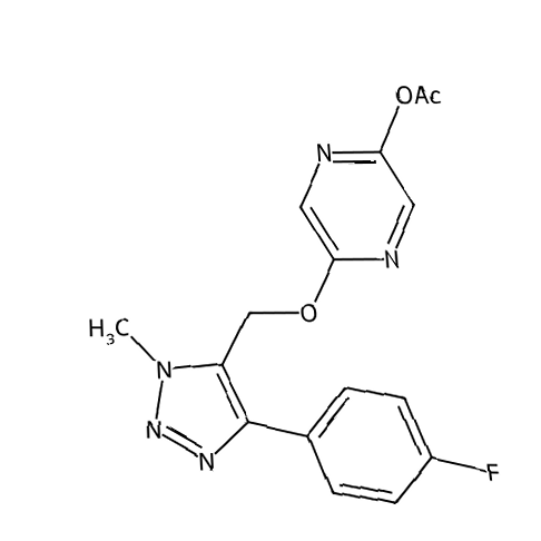 CC(=O)Oc1cnc(OCc2c(-c3ccc(F)cc3)nnn2C)cn1